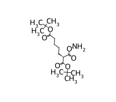 CC(C)(C)OC(=O)CCCC[C@@H](C(=O)ON)C(=O)OC(C)(C)C